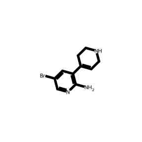 Nc1ncc(Br)cc1C1=CCNCC1